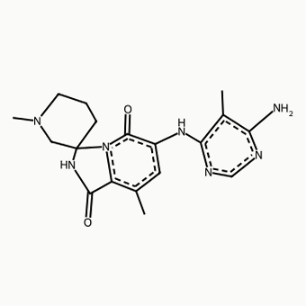 Cc1cc(Nc2ncnc(N)c2C)c(=O)n2c1C(=O)NC21CCCN(C)C1